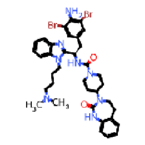 CN(C)CCCCn1c([C@@H](Cc2cc(Br)c(N)c(Br)c2)NC(=O)N2CCC(N3CCc4ccccc4NC3=O)CC2)nc2ccccc21